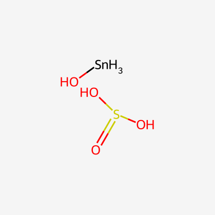 O=S(O)O.[OH][SnH3]